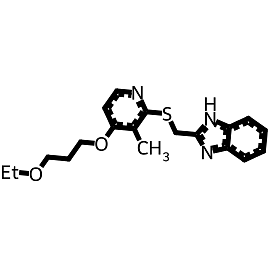 CCOCCCOc1ccnc(SCc2nc3ccccc3[nH]2)c1C